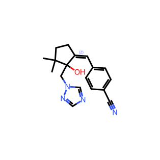 CC1(C)CC/C(=C/c2ccc(C#N)cc2)C1(O)Cn1cncn1